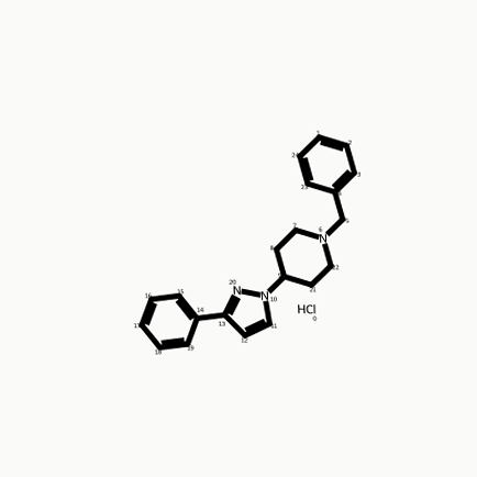 Cl.c1ccc(CN2CCC(n3ccc(-c4ccccc4)n3)CC2)cc1